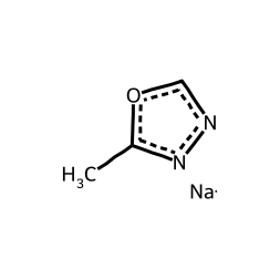 Cc1nnco1.[Na]